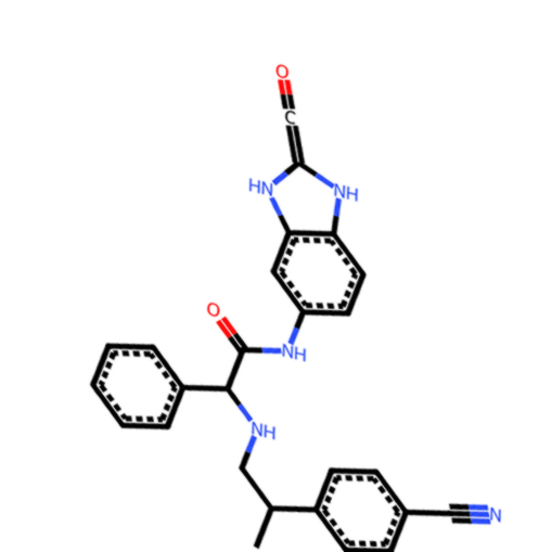 CC(CNC(C(=O)Nc1ccc2c(c1)NC(=C=O)N2)c1ccccc1)c1ccc(C#N)cc1